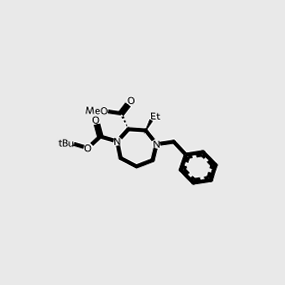 CC[C@@H]1[C@@H](C(=O)OC)N(C(=O)OC(C)(C)C)CCCN1Cc1ccccc1